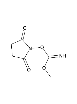 COC(=N)ON1C(=O)CCC1=O